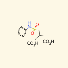 O=C(O)CC(CC(=O)O)CS(=O)(=O)Nc1ccccc1